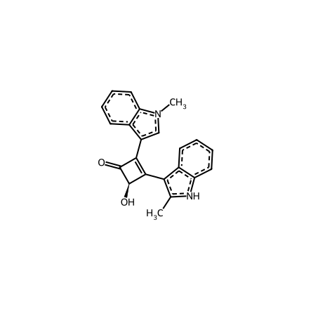 Cc1[nH]c2ccccc2c1C1=C(c2cn(C)c3ccccc23)C(=O)[C@@H]1O